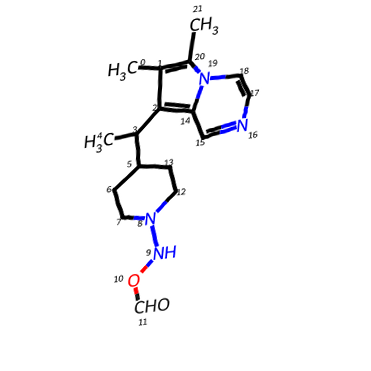 Cc1c(C(C)C2CCN(NOC=O)CC2)c2cnccn2c1C